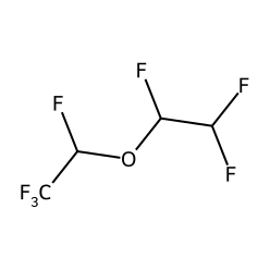 FC(F)C(F)OC(F)C(F)(F)F